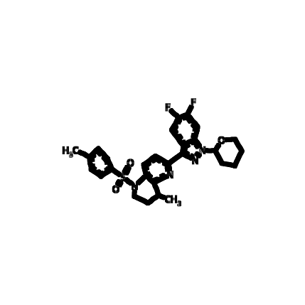 Cc1ccc(S(=O)(=O)N2CCC(C)c3nc(-c4nn(C5CCCCO5)c5cc(F)c(F)cc45)ccc32)cc1